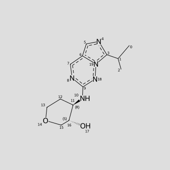 CC(C)c1ncc2cnc(N[C@@H]3CCOC[C@H]3O)nn12